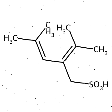 CC(C)=CC(CS(=O)(=O)O)=C(C)C